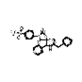 CC1(C(NC(=O)Cc2ccccc2)c2ccncc2)NC(=O)N(c2ccc(S(=O)(=O)C(F)(F)F)cc2)C1=O